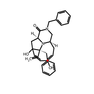 C=C[C@]1(Cc2ccccc2)N2[C@@H]3C/C=C(O)\C=C/C1(O)C[C@H]2C(=O)N(Cc1ccccc1)C3